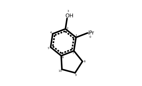 CC(C)c1c(O)ccc2c1CCC2